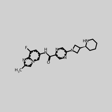 Cc1cn2cc(NC(=O)c3cnc(N4CC([C@@H]5CCCCN5)C4)cn3)cc(F)c2n1